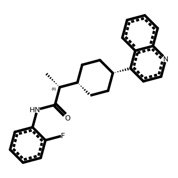 C[C@@H](C(=O)Nc1ccccc1F)[C@H]1CC[C@@H](c2ccnc3ccccc32)CC1